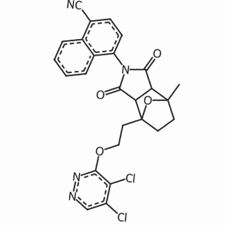 CC12CCC(CCOc3nncc(Cl)c3Cl)(O1)C1C(=O)N(c3ccc(C#N)c4ccccc34)C(=O)C12